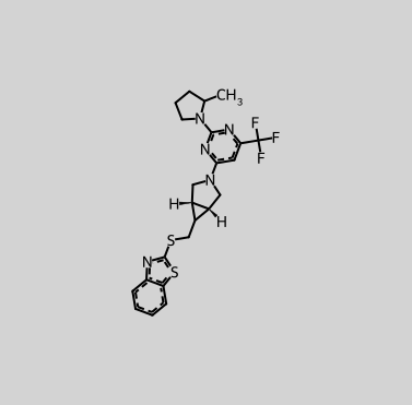 CC1CCCN1c1nc(N2C[C@@H]3C(CSc4nc5ccccc5s4)[C@@H]3C2)cc(C(F)(F)F)n1